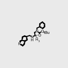 C[C@H](CN(Cc1ccccc1)C(=O)OC(C)(C)C)NCc1ccc2cnccc2c1